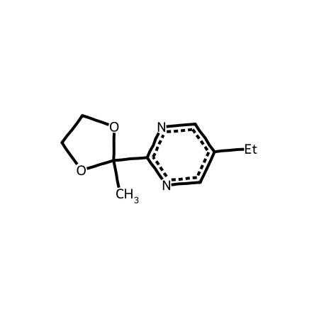 CCc1cnc(C2(C)OCCO2)nc1